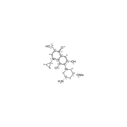 CO[C@@H]1C[C@H](N)CN(c2c(O)cc3c(=O)c(C(=O)O)cn(C4CC4)c3c2Cl)C1